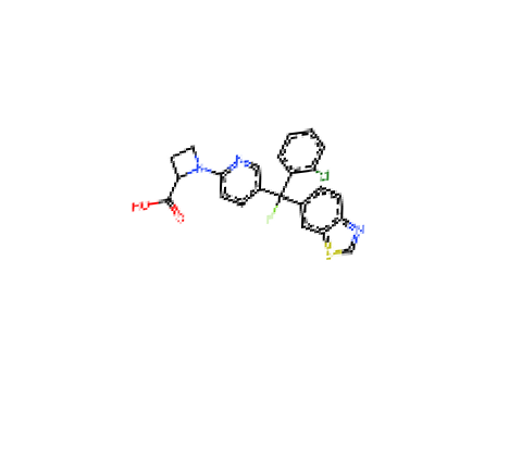 O=C(O)C1CCN1c1ccc(C(F)(c2ccc3ncsc3c2)c2ccccc2Cl)cn1